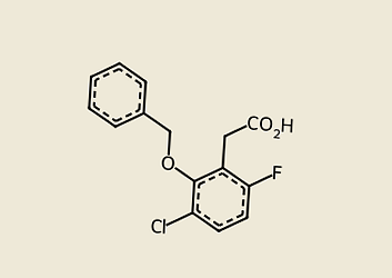 O=C(O)Cc1c(F)ccc(Cl)c1OCc1ccccc1